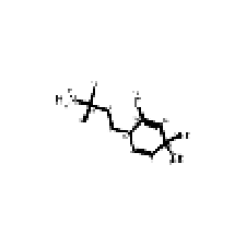 CCC1(CC)C=CC(CCC(C)(C)N)C(F)=C1